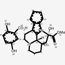 CC[C@]12CCCN3CCc4c(n(c5ccccc45)[C@@](O)(C(=O)OC)C1)[C@@H]32.O=C(O)c1cc(O)ccc1O